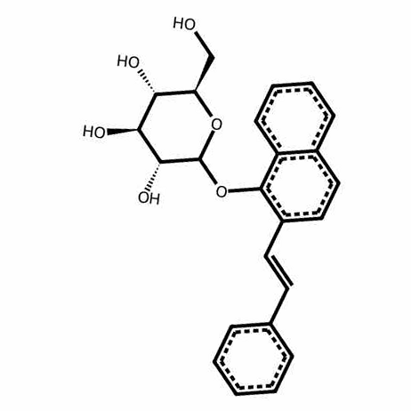 OC[C@H]1OC(Oc2c(/C=C/c3ccccc3)ccc3ccccc23)[C@H](O)[C@@H](O)[C@@H]1O